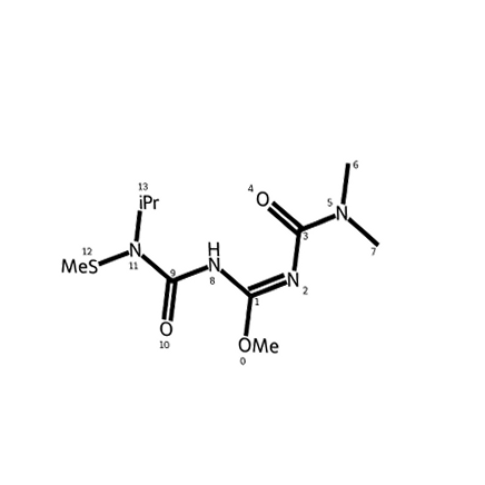 COC(=NC(=O)N(C)C)NC(=O)N(SC)C(C)C